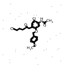 COc1ccc(COc2cc(NC(C)=O)c(Cl)cc2CC(=O)CCCCl)cc1